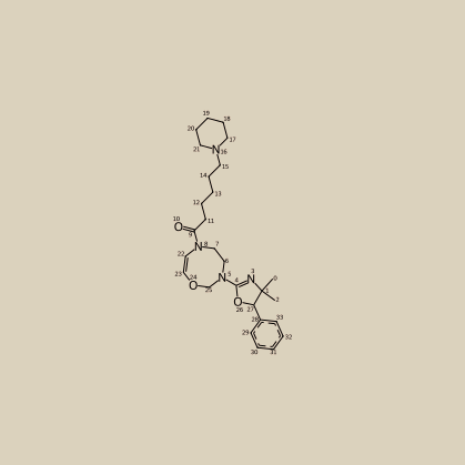 CC1(C)N=C(N2CCN(C(=O)CCCCCN3CCCCC3)/C=C\OC2)OC1c1ccccc1